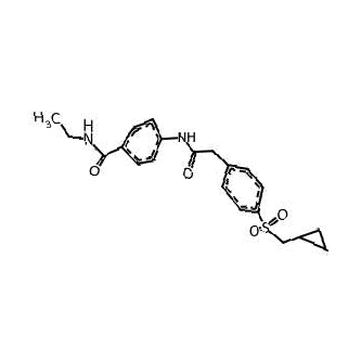 CCNC(=O)c1ccc(NC(=O)Cc2ccc(S(=O)(=O)CC3CC3)cc2)cc1